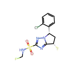 O=S(=O)(NCF)c1nc2n(n1)[C@H](c1ccccc1Cl)C[C@@H]2F